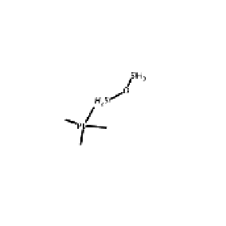 [CH3][Pt]([CH3])([CH3])[CH3].[SiH3]O[SiH3]